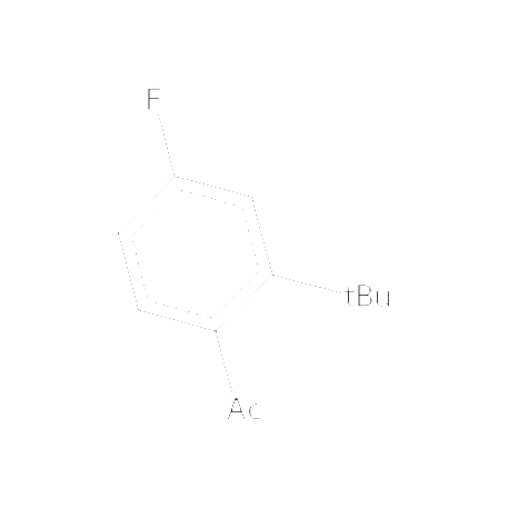 CC(=O)c1ccc(F)cc1C(C)(C)C